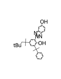 CC(C)(C)CC(C)(C)c1cc(-n2nc3ccc(O)cc3n2)c(O)c(C(C)(C)c2ccccc2)c1